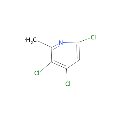 [CH2]c1nc(Cl)cc(Cl)c1Cl